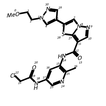 COCCn1cc(-c2cn3ncc(C(=O)Nc4cc(NC(=O)CCl)cnc4C)c3s2)cn1